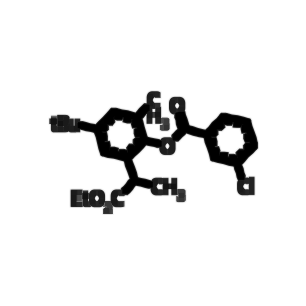 CCOC(=O)C(C)c1cc(C(C)(C)C)cc(C)c1OC(=O)c1cccc(Cl)c1